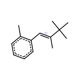 C/C(=C\c1ccccc1C)C(C)(C)C